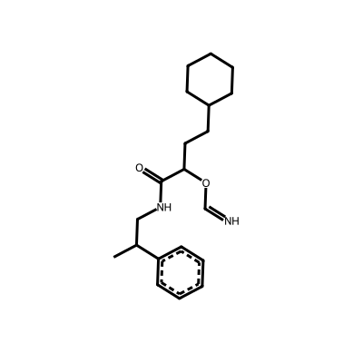 CC(CNC(=O)C(CCC1CCCCC1)OC=N)c1ccccc1